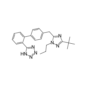 CCCn1nc(C(C)(C)C)nc1Cc1ccc(-c2ccccc2-c2nnn[nH]2)cc1